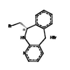 Br.BrC[C@H]1Nc2ncccc2Cc2ccccc21